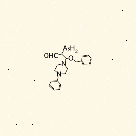 O=CC([AsH2])C(OCc1ccccc1)N1CCN(c2ccccc2)CC1